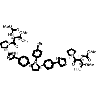 COC(=O)N[C@H](C(=O)N1CCC[C@H]1c1ncc(-c2ccc([C@H]3CC[C@H](c4ccc(-c5cnc([C@@H]6CCCN6C(=O)[C@H](NC(=O)OC)[C@H](C)OC)[nH]5)cc4)N3c3ccc(C(C)(C)C)cc3)cc2)[nH]1)[C@H](C)OC